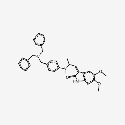 COc1cc2c(cc1OC)C(=CC(C)Nc1ccc(CN(Cc3ccccc3)Cc3ccccc3)cc1)C(=O)N2